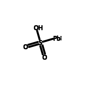 O=[S](=O)(O)[Pb]